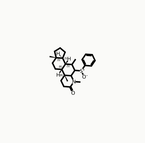 CC1C([S+]([O-])c2ccccc2)C2N(C)C(=O)CC[C@]2(C)[C@@H]2CC[C@]3(C)CCC[C@H]3[C@H]12